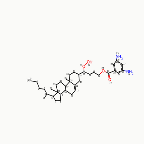 CC(C)CCCC(C)C1CCC2C3CC=C4CC(C(CCCOC(=O)c5cc(N)cc(N)c5)OO)CCC4(C)C3CCC12C